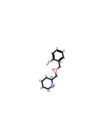 Fc1ccccc1COCC1CCCC[N]1